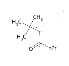 CCCC(=O)[CH]C(C)(C)C